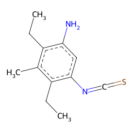 CCc1c(N)cc(N=C=S)c(CC)c1C